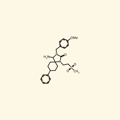 COc1ccc(CN2C(=O)N(CCS(C)(=O)=O)C3(CCC(c4ccccc4)CC3)C2N)cc1